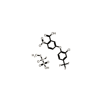 CS[N+]([O-])(F)S(=O)(=O)O.O=C(O)c1cc(Oc2ccc(C(F)(F)F)cc2Cl)ccc1[N+](=O)[O-]